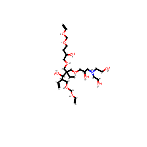 C=COCOCCC(O)COCC(CC)(COCC(O)CN(CCO)CCO)C(O)C(C=C)COCOC=C